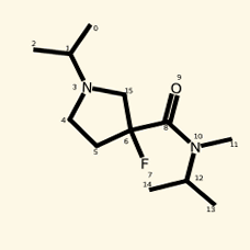 CC(C)N1CCC(F)(C(=O)N(C)C(C)C)C1